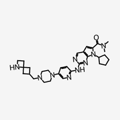 CN(C)C(=O)c1cc2cnc(Nc3ccc(N4CCN(CC5CC6(CCN6)C5)CC4)cn3)nc2n1C1CCCC1